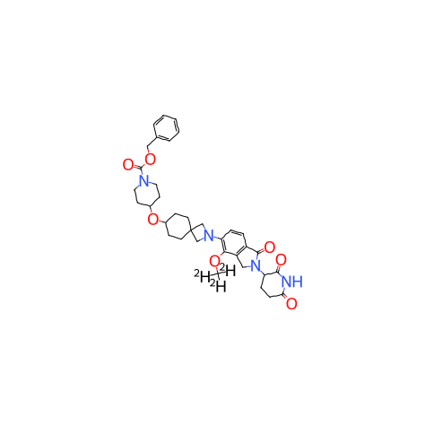 [2H]C([2H])([2H])Oc1c(N2CC3(CCC(OC4CCN(C(=O)OCc5ccccc5)CC4)CC3)C2)ccc2c1CN(C1CCC(=O)NC1=O)C2=O